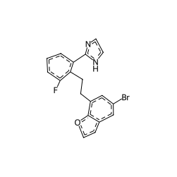 Fc1cccc(-c2ncc[nH]2)c1CCc1cc(Br)cc2ccoc12